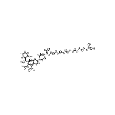 CC(=O)N1c2ccc(-c3cnc(N(C=O)CCOCCOCCOCCOCCOCCC(=O)O)nc3)cc2N(Cc2ccccc2CO)C[C@@H]1C1CC1